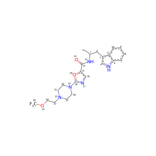 CC(Cc1c[nH]c2ccccc12)NC(=O)c1cnc(N2CCN(CCOC(F)(F)F)CC2)o1